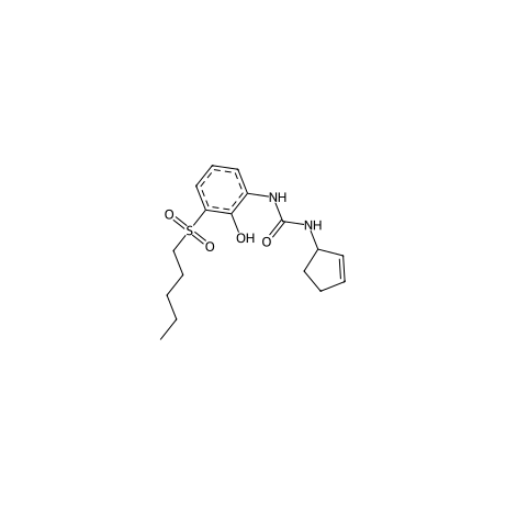 CCCCCS(=O)(=O)c1cccc(NC(=O)NC2C=CCC2)c1O